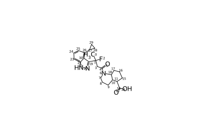 CC(F)(CC(=O)N1CCCC2C(C(=O)O)CCCC21)c1n[nH]c2cccc(C3CC3)c12